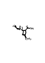 C#CCNC1CC(C)CC1C(=O)O